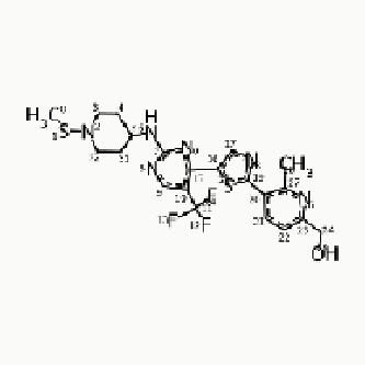 CSN1CCC(Nc2ncc(C(F)(F)F)c(-c3cnc(-c4ccc(CO)nc4C)s3)n2)CC1